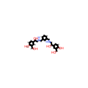 OCc1cc(C(O)CNCc2cccc(CNCC(O)c3ccc(O)c(CO)c3)c2)ccc1O